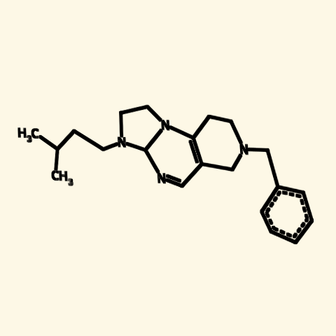 CC(C)CCN1CCN2C3=C(C=NC12)CN(Cc1ccccc1)CC3